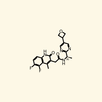 Cc1c(CC(=O)N[C@H](C)c2ncc(C3COC3)cn2)c(=O)[nH]c2ccc(F)c(F)c12